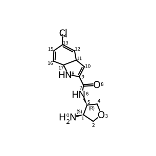 N[C@@H]1COC[C@@H]1NC(=O)C1=CC2C=C(Cl)C=CC2N1